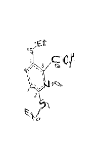 CCSc1ccc(SCC)c(C(=O)O)n1